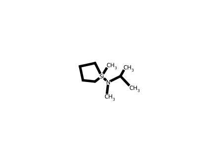 CC(C)N(C)[Si]1(C)CCCC1